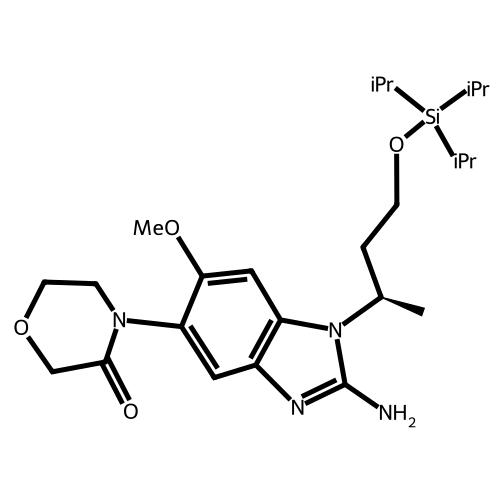 COc1cc2c(cc1N1CCOCC1=O)nc(N)n2[C@H](C)CCO[Si](C(C)C)(C(C)C)C(C)C